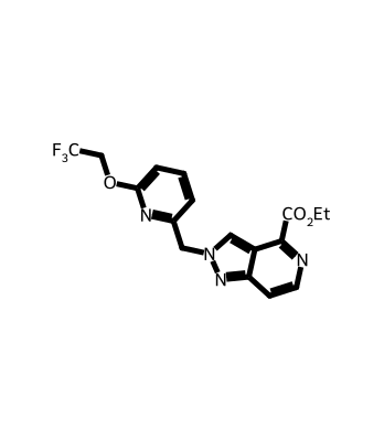 CCOC(=O)c1nccc2nn(Cc3cccc(OCC(F)(F)F)n3)cc12